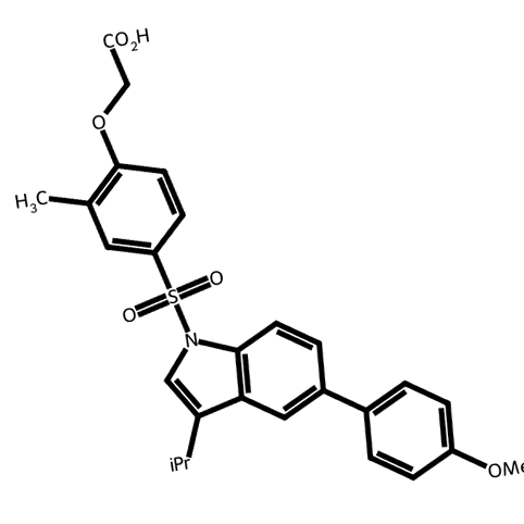 COc1ccc(-c2ccc3c(c2)c(C(C)C)cn3S(=O)(=O)c2ccc(OCC(=O)O)c(C)c2)cc1